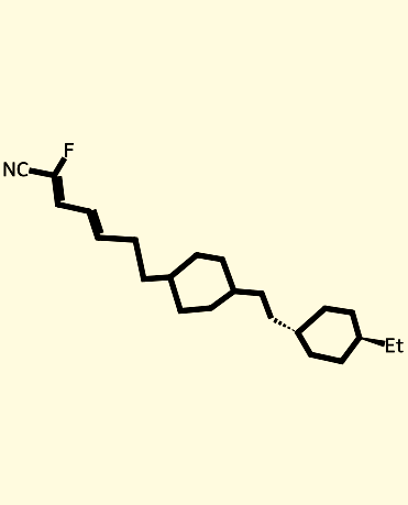 CC[C@H]1CC[C@H](CCC2CCC(CCC=CC=C(F)C#N)CC2)CC1